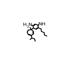 CCCCCC1=CC(C2(C)C=CC(C(C)CC)=CCC2)C(N)=CC1=N